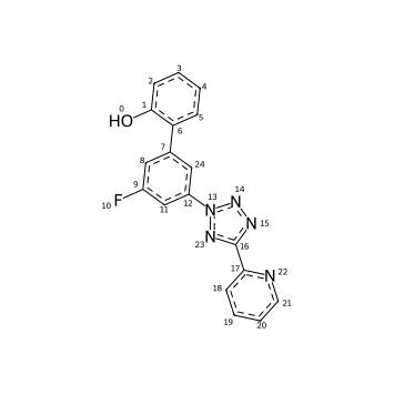 Oc1ccccc1-c1cc(F)cc(-n2nnc(-c3ccccn3)n2)c1